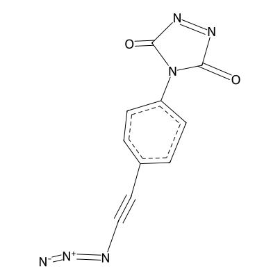 [N-]=[N+]=NC#Cc1ccc(N2C(=O)N=NC2=O)cc1